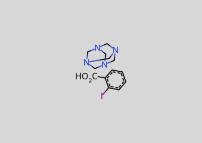 C1N2CN3CN1CN(C2)C3.O=C(O)c1ccccc1I